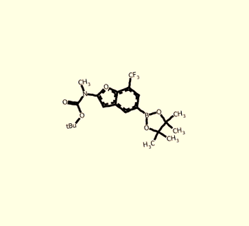 CN(C(=O)OC(C)(C)C)c1cc2cc(B3OC(C)(C)C(C)(C)O3)cc(C(F)(F)F)c2o1